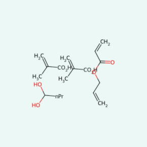 C=C(C)C(=O)O.C=C(C)C(=O)O.C=CCOC(=O)C=C.CCCC(O)O